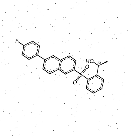 C[C@H](O)c1ccccc1S(=O)(=O)c1ccc2cc(-c3ccc(F)cc3)ccc2c1